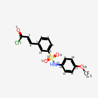 O=C(Cl)C=Cc1cccc(S(=O)(=O)Nc2ccc(OC(F)(F)F)cc2)c1